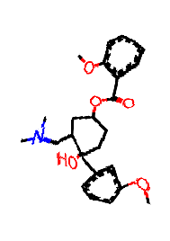 COc1cccc(C2(O)CCC(OC(=O)c3ccccc3OC)CC2CN(C)C)c1